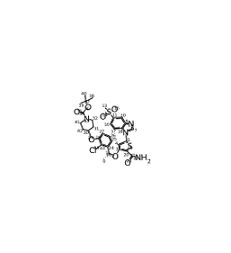 C[C@@H](Oc1cc(-n2cnc3cc(S(C)(=O)=O)ccc32)sc1C(N)=O)c1cccc(OC2CCN(C(=O)OC(C)(C)C)CC2)c1Cl